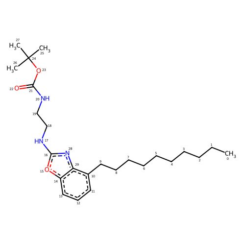 CCCCCCCCCCc1cccc2oc(NCCNC(=O)OC(C)(C)C)nc12